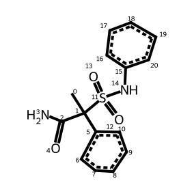 CC(C(N)=O)(c1ccccc1)S(=O)(=O)Nc1ccccc1